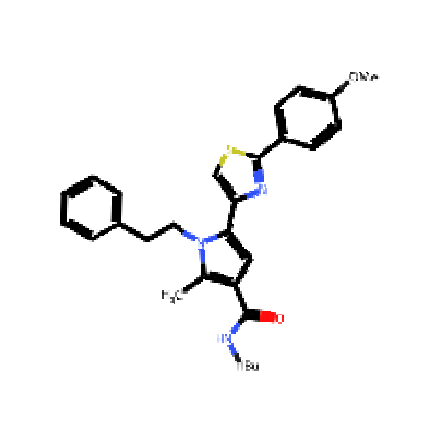 CCCCNC(=O)c1cc(-c2csc(-c3ccc(OC)cc3)n2)n(CCc2ccccc2)c1C